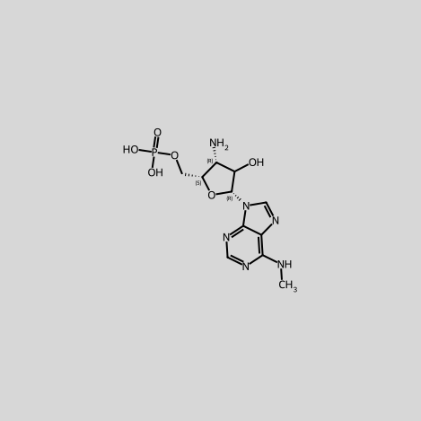 CNc1ncnc2c1ncn2[C@@H]1O[C@H](COP(=O)(O)O)[C@H](N)C1O